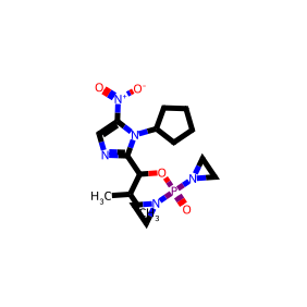 CC(C)C(OP(=O)(N1CC1)N1CC1)c1ncc([N+](=O)[O-])n1C1CCCC1